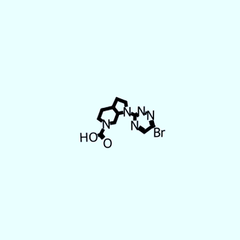 O=C(O)N1CCC2CCN(c3ncc(Br)nn3)C2C1